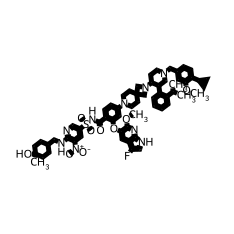 COc1cc(CN2CCC(N3CC4(CCN(c5ccc(C(=O)NS(=O)(=O)c6cnc(NCC7CCC(C)(O)CC7)c([N+](=O)[O-])c6)c(Oc6cc7c(F)c[nH]c7nc6OC)c5)CC4)C3)C(c3ccccc3C(C)C)C2)ccc1C1CC1